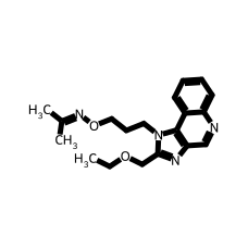 CCOCc1nc2cnc3ccccc3c2n1CCCON=C(C)C